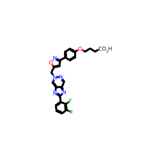 O=C(O)CCCOc1ccc(-c2cc(Cn3cc4nc(-c5cccc(F)c5F)nc-4cn3)on2)cc1